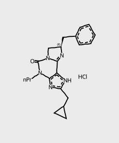 CCCN1C(=O)N2C[C@@H](Cc3ccccc3)N=C2c2[nH]c(CC3CC3)nc21.Cl